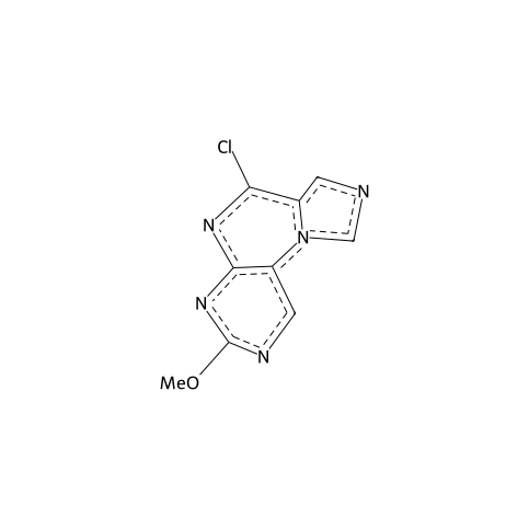 COc1ncc2c(n1)nc(Cl)c1cncn12